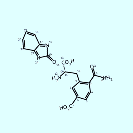 NC(=O)c1ccc(C(=O)O)cc1C[C@H](N)C(=O)O.O=C1N=c2ccccc2=N1